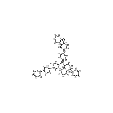 c1ccc(-c2ccc(-c3ccc(N(c4ccc(-c5ccc6oc7ccccc7c6c5)cc4)c4ccc(-c5ccccc5)c5ccccc45)cc3)cc2)cc1